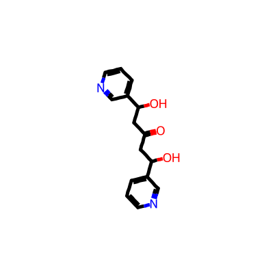 O=C(CC(O)c1cccnc1)CC(O)c1cccnc1